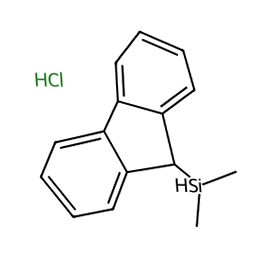 C[SiH](C)C1c2ccccc2-c2ccccc21.Cl